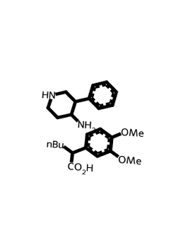 CCCCC(C(=O)O)c1ccc(OC)c(OC)c1.NC1CCNCC1c1ccccc1